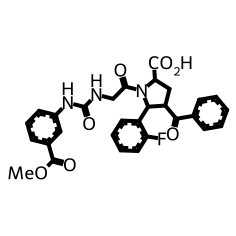 COC(=O)c1cccc(NC(=O)NCC(=O)N2C(C(=O)O)CC(C(=O)c3ccccc3)C2c2ccccc2F)c1